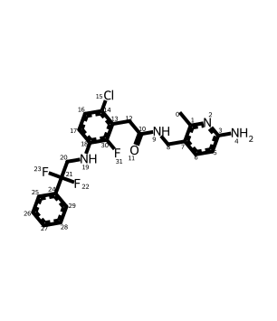 Cc1nc(N)ccc1CNC(=O)Cc1c(Cl)ccc(NCC(F)(F)c2ccccc2)c1F